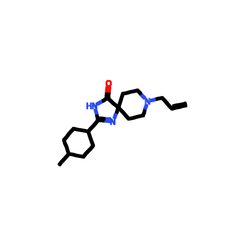 C=CCN1CCC2(CC1)N=C(C1CCC(C)CC1)NC2=O